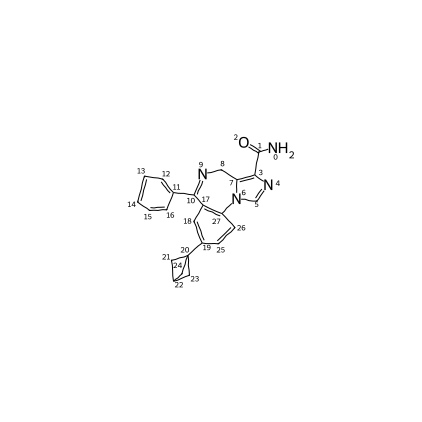 NC(=O)c1ncn2c1CN=C(c1ccccc1)c1cc(C34CC(C3)C4)ccc1-2